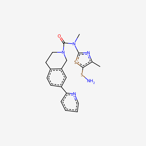 Cc1nc(N(C)C(=O)N2CCc3ccc(-c4ccccn4)cc3C2)sc1SN